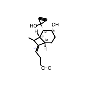 CC1/C(=C/CCC=O)[C@H]2CC[C@@H](O)[C@@H](C3(O)C#C3)[C@@H]12